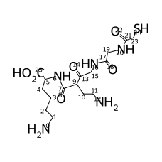 NCCCCC(NC(=O)C(CCN)C(=O)CNC(=O)CNC(=O)CS)C(=O)O